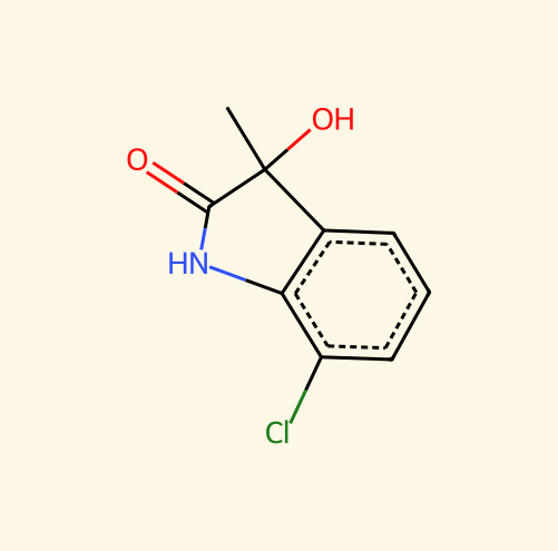 CC1(O)C(=O)Nc2c(Cl)cccc21